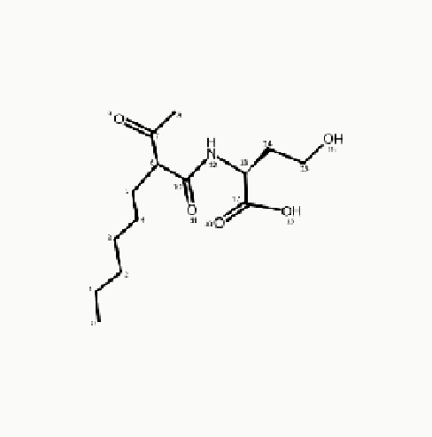 CCCCCCC(C(C)=O)C(=O)N[C@@H](CCO)C(=O)O